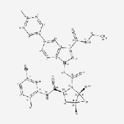 Cc1ncc(-c2ccc3c(c2)c(C(=O)NCC(F)(F)F)nn3CC(=O)N2[C@H](C(=O)Nc3nc(Br)ccc3C)C[C@@]3(C)C[C@@H]23)cn1